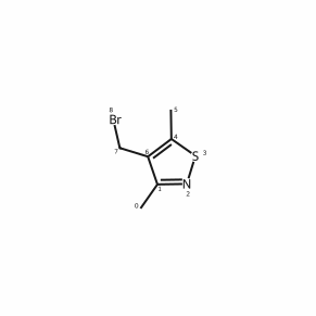 Cc1nsc(C)c1CBr